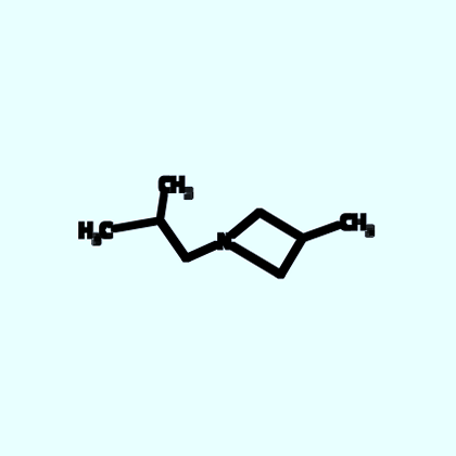 CC(C)CN1CC(C)C1